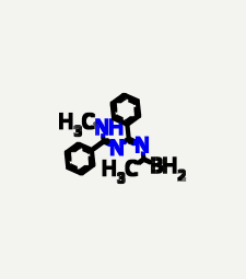 BC(C)/N=C(\N=C(/NC)c1ccccc1)c1ccccc1